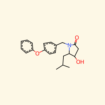 CC(C)CC1C(O)CC(=O)N1Cc1ccc(Oc2ccccc2)cc1